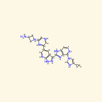 Cc1cn(-c2nccc3[nH]c(-c4n[nH]c5ncc(-c6cncc(N7CC(N)C7)n6)cc45)nc23)cn1